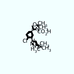 CC1(C)OC[C@H](c2ccc(Cl)c(-n3cc([Si](C)(C)C)nn3)c2)N1C(=O)O